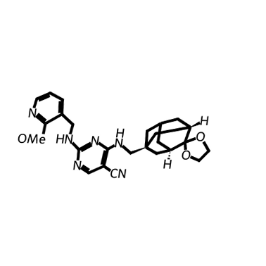 COc1ncccc1CNc1ncc(C#N)c(NC[C@]23CC4C[C@H](C2)C2(OCCO2)[C@@H](C4)C3)n1